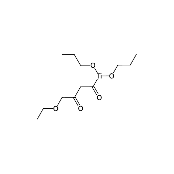 CCC[O][Ti]([O]CCC)[C](=O)CC(=O)COCC